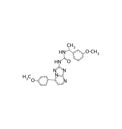 COc1ccc(-c2ccnc3nc(NC(=O)NC(C)c4cccc(OC)c4)nn23)cc1